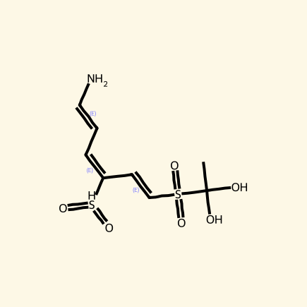 CC(O)(O)S(=O)(=O)/C=C/C(=C\C=C\N)[SH](=O)=O